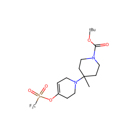 CC(C)(C)OC(=O)N1CCC(C)(N2CC=C(OS(=O)(=O)C(F)(F)F)CC2)CC1